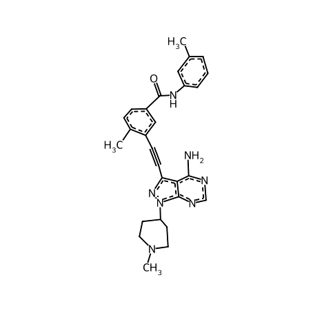 Cc1cccc(NC(=O)c2ccc(C)c(C#Cc3nn(C4CCN(C)CC4)c4ncnc(N)c34)c2)c1